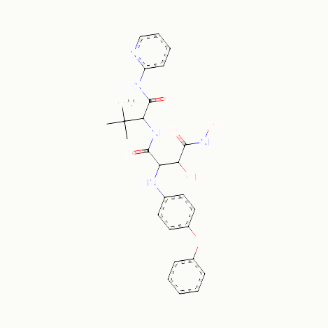 COC(C)(C)C(NC(=O)C(Nc1ccc(Oc2ccccc2)cc1)C(O)C(=O)NO)C(=O)Nc1ccccn1